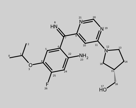 CC(C)Oc1cc(C(=N)c2cc(N3CC[C@H](CO)C3)ncn2)c(N)cc1F